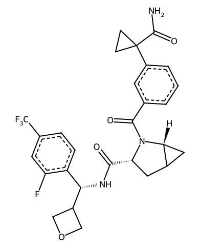 NC(=O)C1(c2cccc(C(=O)N3[C@@H](C(=O)N[C@@H](c4ccc(C(F)(F)F)cc4F)C4COC4)CC4C[C@H]43)c2)CC1